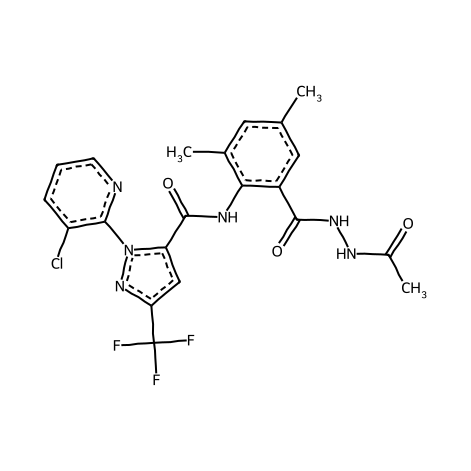 CC(=O)NNC(=O)c1cc(C)cc(C)c1NC(=O)c1cc(C(F)(F)F)nn1-c1ncccc1Cl